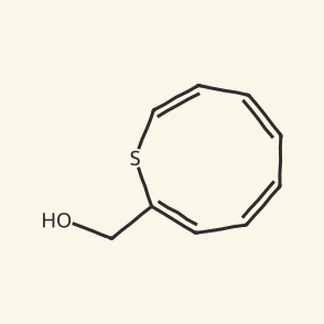 OCc1cccccccs1